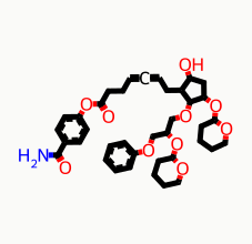 NC(=O)c1ccc(OC(=O)CCC=C=CCC2C(O)CC(OC3CCCCO3)C2OCC(COc2ccccc2)OC2CCCCO2)cc1